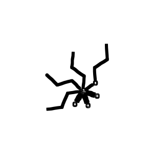 CCC[O][Ru](=[O])(=[O])(=[O])([CH2]CC)([CH2]CC)[CH2]CC